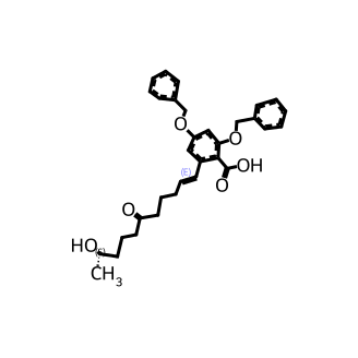 C[C@H](O)CCCC(=O)CCC/C=C/c1cc(OCc2ccccc2)cc(OCc2ccccc2)c1C(=O)O